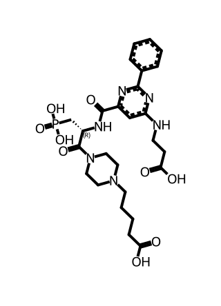 O=C(O)CCCCN1CCN(C(=O)[C@H](CP(=O)(O)O)NC(=O)c2cc(NCCC(=O)O)nc(-c3ccccc3)n2)CC1